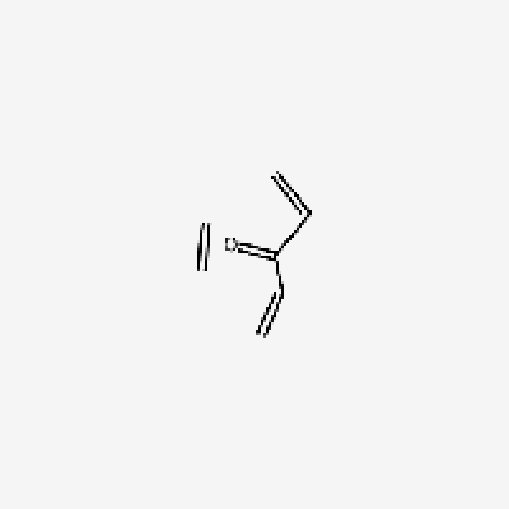 C=C.C=CC(=O)C=C